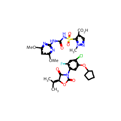 CC(C)=C1OC(=O)N(c2cc(OC3CCCC3)c(Cl)cc2F)C1=O.COc1cc(OC)nc(NC(=O)NS(=O)(=O)c2c(C(=O)O)cnn2C)n1